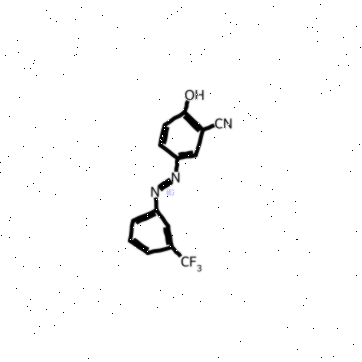 N#Cc1cc(/N=N/c2cccc(C(F)(F)F)c2)ccc1O